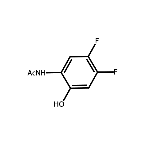 CC(=O)Nc1cc(F)c(F)cc1O